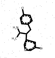 CC(N)C(Cc1ccc(Cl)cc1)c1cncc(Br)c1